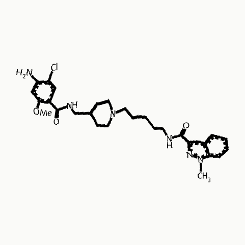 COc1cc(N)c(Cl)cc1C(=O)NCC1CCN(CCCCCNC(=O)c2nn(C)c3ccccc23)CC1